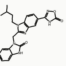 CC(C)CCn1c(Cn2c(=O)[nH]c3ccccc32)nc2cc(-c3noc(=O)[nH]3)ccc21